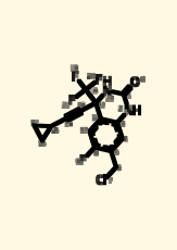 O=C1Nc2cc(CCl)c(F)cc2C(C#CC2CC2)(C(F)(F)F)N1